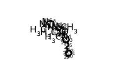 Cc1nn(-c2ccc3nnc(C)n3n2)c(C)c1C(C)C(=O)N1CCC(CCc2ccccc2)CC1